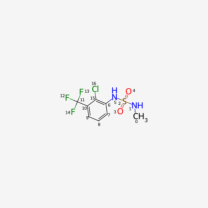 CNS(=O)(=O)Nc1cccc(C(F)(F)F)c1Cl